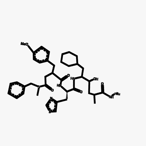 CCCCNC(=O)C(C)CC(O)C(CC1CCCCC1)NC(=O)[C@H](Cc1cscn1)NC(=O)C(CC(=O)N(C)Cc1ccccc1)Cc1ccc(OC)cc1